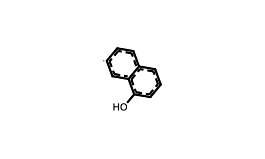 Oc1cccc2cc[c]cc12